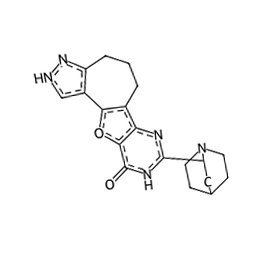 O=c1[nH]c(C2CC3CCN2CC3)nc2c3c(oc12)-c1c[nH]nc1CCC3